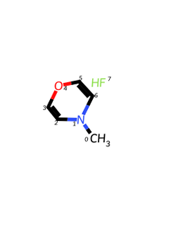 CN1C=COC=C1.F